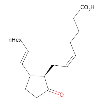 CCCCCC/C=C/C1CCC(=O)[C@@H]1C/C=C\CCCC(=O)O